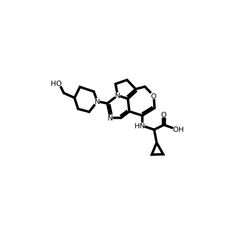 O=C(O)C(NC1=COCC2=C3C1=CN=C(N1CCC(CO)CC1)N3CC2)C1CC1